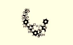 Cc1nn(-c2ccccc2)c(N)c1N=Nc1cc(Nc2nc(Cl)nc(Nc3ccc(S(=O)(=O)C(C)OS(=O)(=O)O)cc3)n2)ccc1S(=O)(=O)O